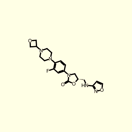 O=C1O[C@@H](CNc2ccon2)CN1c1ccc(N2CCN(C3COC3)CC2)c(F)c1